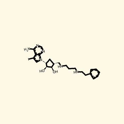 Nc1ncnc2c1c(I)cn2[C@@H]1C[C@H](CNCCCNCCc2ccccc2)[C@@H](O)[C@H]1O